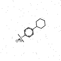 C[SH](C)(=O)c1ccc(C2CCCCC2)cc1